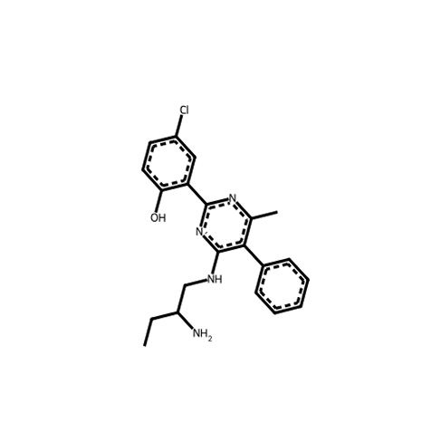 CCC(N)CNc1nc(-c2cc(Cl)ccc2O)nc(C)c1-c1ccccc1